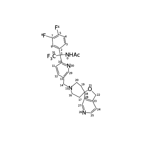 CC(=O)NC(c1ccc(F)c(F)c1)(c1ccc(CN2CCC3(CC2)OCc2ccncc23)cn1)C(F)(F)F